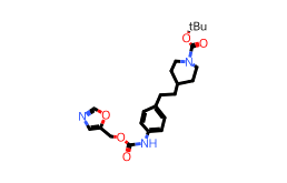 CC(C)(C)OC(=O)N1CCC(CCc2ccc(NC(=O)OCc3cnco3)cc2)CC1